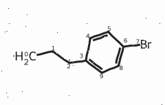 [CH2]C[CH]c1ccc(Br)cc1